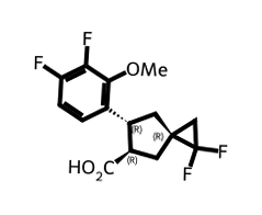 COc1c([C@@H]2C[C@@]3(C[C@H]2C(=O)O)CC3(F)F)ccc(F)c1F